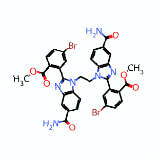 COC(=O)c1ccc(Br)cc1-c1nc2cc(C(N)=O)ccc2n1CCn1c(-c2cc(Br)ccc2C(=O)OC)nc2cc(C(N)=O)ccc21